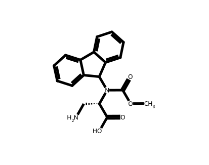 COC(=O)N(C1c2ccccc2-c2ccccc21)[C@@H](CN)C(=O)O